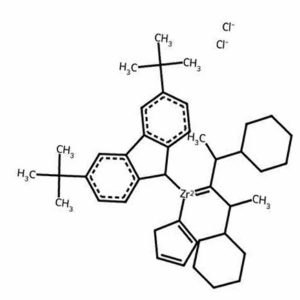 CC([C](C(C)C1CCCCC1)=[Zr+2]([C]1=CC=CC1)[CH]1c2ccc(C(C)(C)C)cc2-c2cc(C(C)(C)C)ccc21)C1CCCCC1.[Cl-].[Cl-]